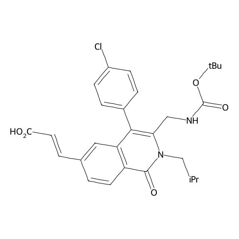 CC(C)Cn1c(CNC(=O)OC(C)(C)C)c(-c2ccc(Cl)cc2)c2cc(C=CC(=O)O)ccc2c1=O